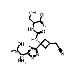 C[C@@H](O)[C@H](N)c1nnc([C@]2(NC(=O)N[C@@H](CO)C(=O)O)C[C@H](CC#N)C2)o1